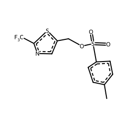 Cc1ccc(S(=O)(=O)OCc2cnc(C(F)(F)F)s2)cc1